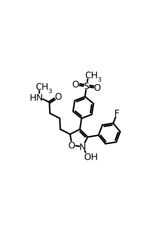 CNC(=O)CCCC1ON(O)C(c2cccc(F)c2)=C1c1ccc(S(C)(=O)=O)cc1